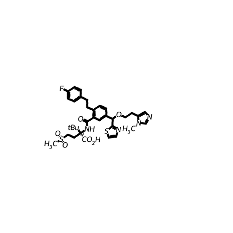 Cn1cncc1CCOC(c1ccc(CCc2ccc(F)cc2)c(C(=O)N[C@](CCS(C)(=O)=O)(C(=O)O)C(C)(C)C)c1)c1nccs1